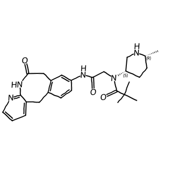 C[C@@H]1CC[C@H](N(CC(=O)Nc2ccc3c(c2)CC(=O)Nc2ncccc2C3)C(=O)C(C)(C)C)CN1